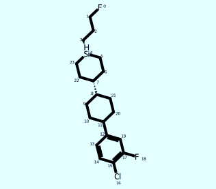 FCCC[Si@H]1CC[C@H](C2CCC(c3ccc(Cl)c(F)c3)CC2)CC1